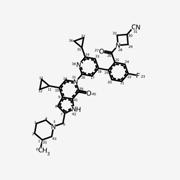 C[C@H]1CCCN(Cc2cc3c(C4CC4)cn(-c4cc(-c5ccc(F)cc5C(=O)N5CC(C#N)C5)cc(C5CC5)n4)c(=O)c3[nH]2)C1